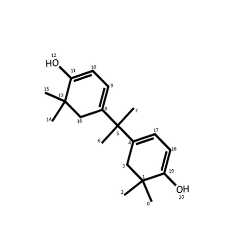 CC1(C)CC(C(C)(C)C2=CC=C(O)C(C)(C)C2)=CC=C1O